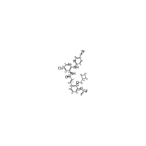 N#Cc1ccc(Nc2ncc(Cl)cc2NC(=O)/C=C/c2cccc(OC(F)F)c2OCC2CCC2)nc1